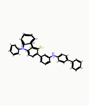 Sc1c(-c2cccc(Nc3ccc(-c4ccccc4)cc3)c2)ccc2c1c1ccccc1n2-c1ccccc1